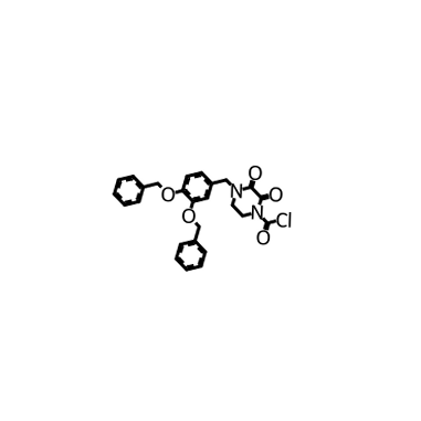 O=C1C(=O)N(C(=O)Cl)CCN1Cc1ccc(OCc2ccccc2)c(OCc2ccccc2)c1